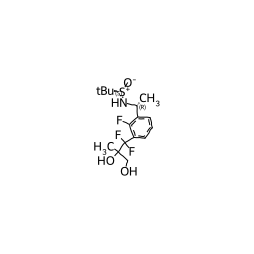 C[C@@H](N[S@+]([O-])C(C)(C)C)c1cccc(C(F)(F)C(C)(O)CO)c1F